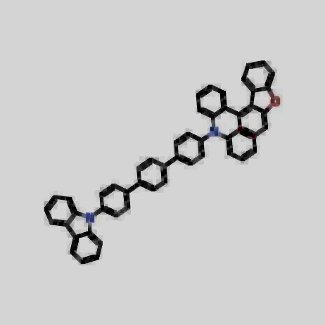 c1ccc(N(c2ccc(-c3ccc(-c4ccc(-n5c6ccccc6c6ccccc65)cc4)cc3)cc2)c2ccccc2-c2cccc3oc4ccccc4c23)cc1